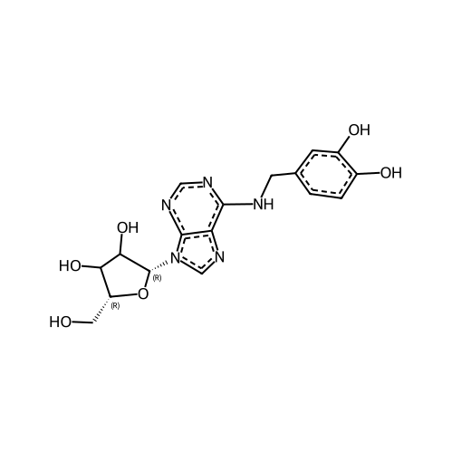 OC[C@H]1O[C@@H](n2cnc3c(NCc4ccc(O)c(O)c4)ncnc32)C(O)C1O